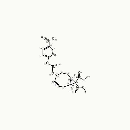 COC(=O)C1(C(=O)OC)[C@@H]2CC[C@@H](OC(=O)Oc3ccc([N+](=O)[O-])cc3)/C=C\C[C@@H]21